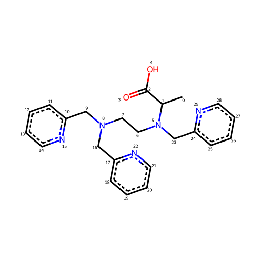 CC(C(=O)O)N(CCN(Cc1ccccn1)Cc1ccccn1)Cc1ccccn1